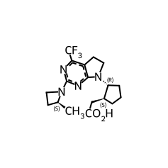 C[C@H]1CCN1c1nc2c(c(C(F)(F)F)n1)CCN2[C@@H]1CCC[C@H]1CC(=O)O